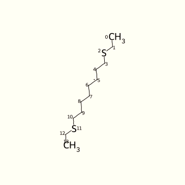 CCSCC[CH]CCCCCSCC